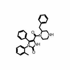 Cc1ccccc1-n1c(-c2ccccc2)c(C(=O)N2CCNCC2Cc2ccccc2)[nH]c1=O